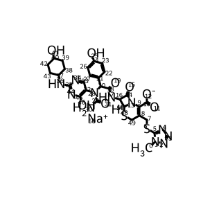 Cn1nnnc1SCC1=C(C(=O)[O-])N2C(=O)C(NC(=O)C(c3ccc(O)cc3)N(C(N)=O)c3cnc(NC4CCC(O)CC4)nc3O)[C@@H]2SC1.[Na+]